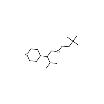 CC(C)C(COCCC(C)(C)C)C1CCOCC1